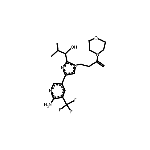 C=C(CCn1cc(-c2cnc(N)c(C(F)(F)F)c2)nc1C(O)C(C)C)N1CCOCC1